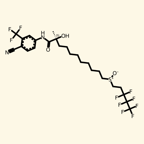 C[C@](O)(CCCCCCCCC[S+]([O-])CCC(F)(F)C(F)(F)C(F)(F)F)C(=O)Nc1ccc(C#N)c(C(F)(F)F)c1